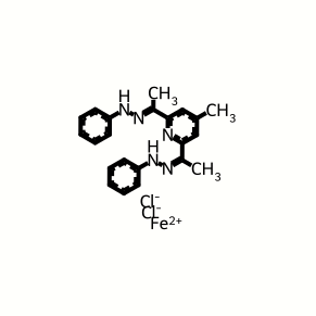 CC(=NNc1ccccc1)c1cc(C)cc(C(C)=NNc2ccccc2)n1.[Cl-].[Cl-].[Fe+2]